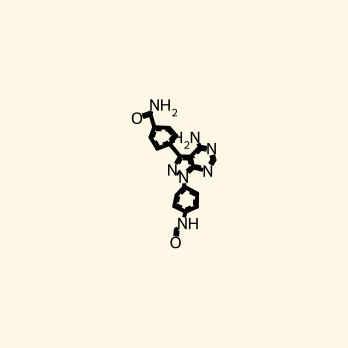 NC(=O)c1ccc(-c2nn(-c3ccc(NC=O)cc3)c3ncnc(N)c23)cc1